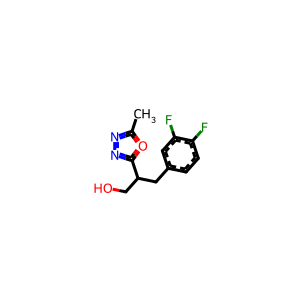 Cc1nnc(C(CO)Cc2ccc(F)c(F)c2)o1